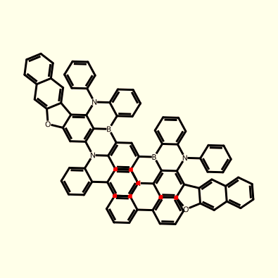 c1ccc(-c2ccccc2N2c3cc4c(cc3B3c5ccccc5N(c5ccccc5)c5c3c2cc2oc3cc6ccccc6cc3c52)B2c3ccccc3N(c3ccccc3)c3c2c(cc2oc5cc6ccccc6cc5c32)N4c2ccccc2-c2ccccc2)cc1